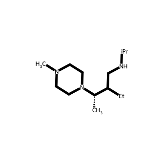 CCC(CNC(C)C)[C@H](C)N1CCN(C)CC1